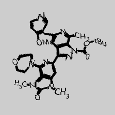 COc1ccncc1-c1cc2c(-c3cc4c(c(N5CCOCC5)n3)n(C)c(=O)n4C)nn(C(=O)OC(C)(C)C)c2c(C)n1